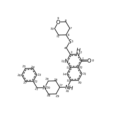 O=c1[nH]c(CSC2CCOCC2)nc2cc(NC3CCN(Cc4ccccc4)CC3)ccc12